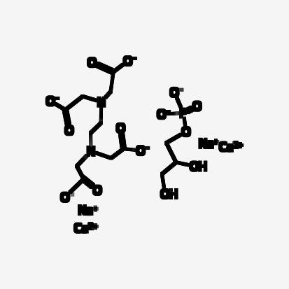 O=C([O-])CN(CCN(CC(=O)[O-])CC(=O)[O-])CC(=O)[O-].O=P([O-])([O-])OCC(O)CO.[Ca+2].[Ca+2].[Na+].[Na+]